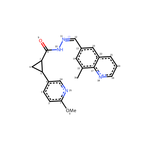 COc1ccc(C2CC2C(=O)N/N=C\c2cc(C)c3ncccc3c2)cn1